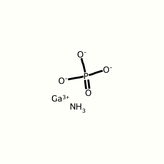 N.O=P([O-])([O-])[O-].[Ga+3]